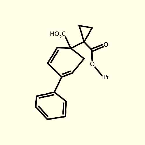 CC(C)OC(=O)C1(C2(C(=O)O)C=CC(c3ccccc3)=CC2)CC1